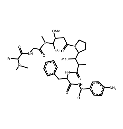 CCC(C)C(C(CC(=O)N1CCCC1C(OC)C(C)C(=O)NC(Cc1ccccc1)C(=O)N[S+]([O-])c1ccc(N)cc1)OC)N(C)C(=O)CNC(=O)C(C(C)C)N(C)C